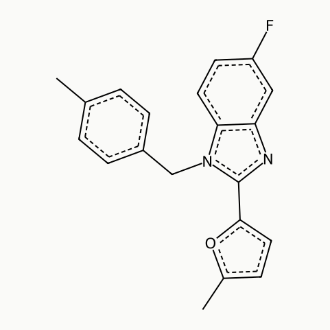 Cc1ccc(Cn2c(-c3ccc(C)o3)nc3cc(F)ccc32)cc1